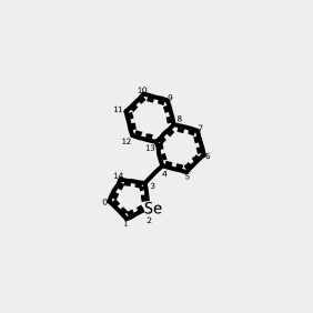 c1c[se]c(-c2cccc3ccccc23)c1